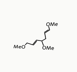 COC=CCC(C=CCOC)OC